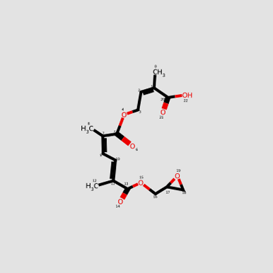 CC(=CCOC(=O)C(C)=CC=C(C)C(=O)OCC1CO1)C(=O)O